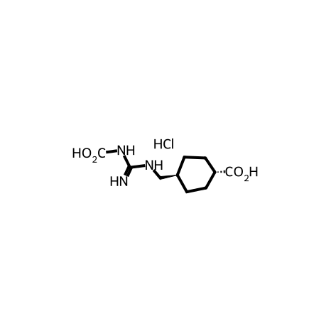 Cl.N=C(NC[C@H]1CC[C@H](C(=O)O)CC1)NC(=O)O